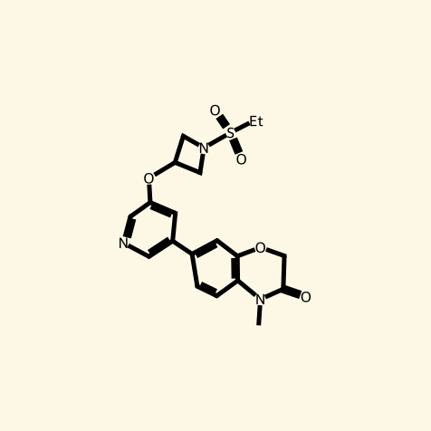 CCS(=O)(=O)N1CC(Oc2cncc(-c3ccc4c(c3)OCC(=O)N4C)c2)C1